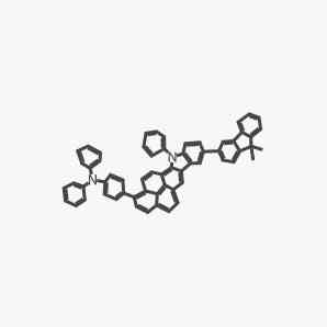 CC1(C)c2ccccc2-c2cc(-c3ccc4c(c3)c3cc5ccc6ccc(-c7ccc(N(c8ccccc8)c8ccccc8)cc7)c7ccc(c5c67)c3n4-c3ccccc3)ccc21